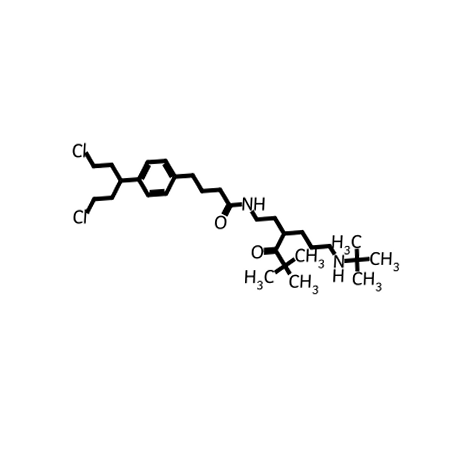 CC(C)(C)NCCCC(CCNC(=O)CCCc1ccc(C(CCCl)CCCl)cc1)C(=O)C(C)(C)C